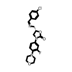 O=C1O[C@@H](C/N=C\c2ccc(Cl)cc2)CN1c1ccc(N2CCOCC2)c(F)c1